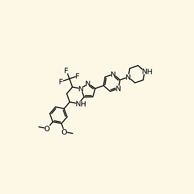 COc1ccc(C2CC(C(F)(F)F)n3nc(-c4cnc(N5CCNCC5)nc4)cc3N2)cc1OC